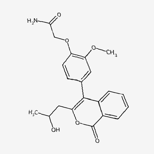 COc1cc(-c2c(CC(C)O)oc(=O)c3ccccc23)ccc1OCC(N)=O